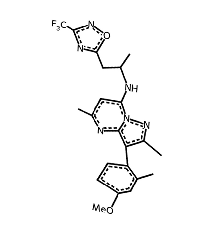 COc1ccc(-c2c(C)nn3c(NC(C)Cc4nc(C(F)(F)F)no4)cc(C)nc23)c(C)c1